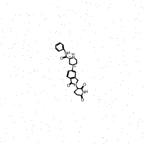 O=C1CCC(N2Cc3cc([C@@H]4CCN[C@H](C(=O)Nc5ccccc5)C4)ccc3C2=O)C(=O)N1